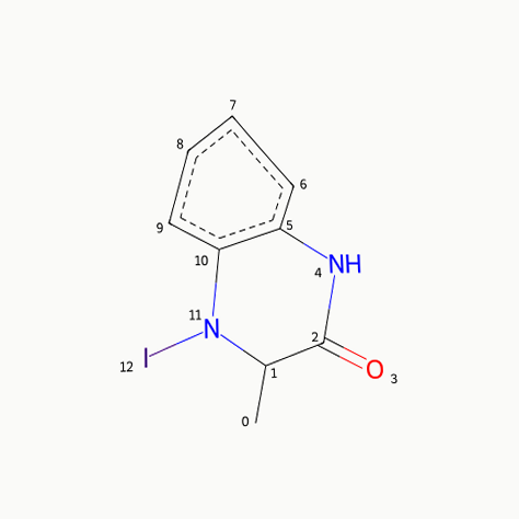 CC1C(=O)Nc2ccccc2N1I